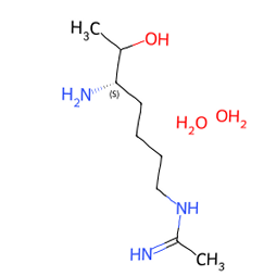 CC(=N)NCCCC[C@H](N)C(C)O.O.O